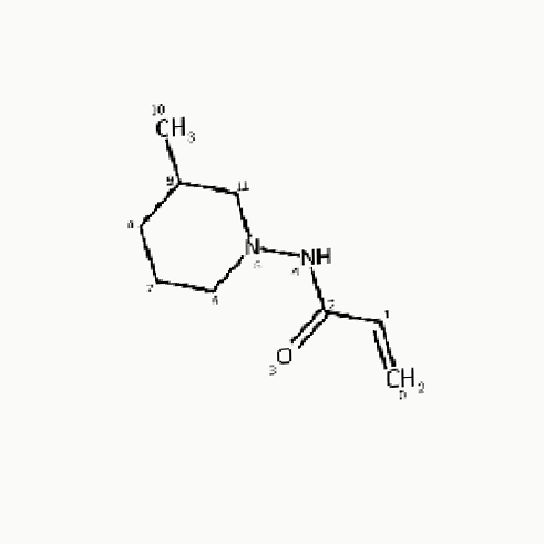 C=CC(=O)NN1CCCC(C)C1